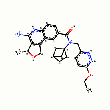 CCOc1ccc(CN(C(=O)c2ccc3nc(N)c4c(c3c2)CO[C@@H]4C)C23CCC(C2)C3)nn1